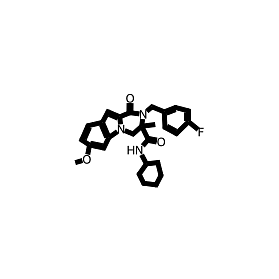 COc1ccc2cc3n(c2c1)CC(C)(C(=O)NC1CCCCC1)N(Cc1ccc(F)cc1)C3=O